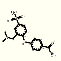 CN(C)Cc1cc(S(N)(=O)=O)ccc1Oc1ccc(C(N)=O)cc1